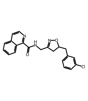 O=C(NCC1=NOC(Cc2cccc(Cl)c2)C1)c1nccc2ccccc12